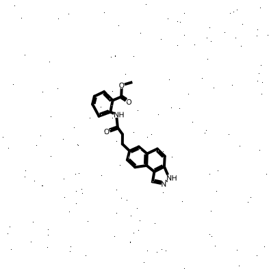 COC(=O)c1ccccc1NC(=O)CCc1ccc2c(ccc3[nH]ncc32)c1